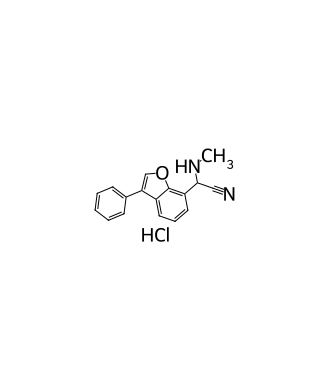 CNC(C#N)c1cccc2c(-c3ccccc3)coc12.Cl